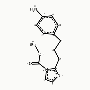 CC(C)(C)OC(=O)n1ccnc1CCCc1ccc(N)cc1